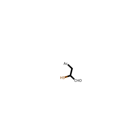 CC(=O)CC(S)C=O